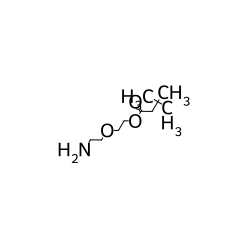 CC(C)(C)CC(=O)OCCOCCN